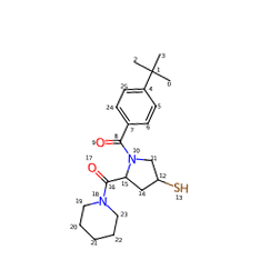 CC(C)(C)c1ccc(C(=O)N2CC(S)CC2C(=O)N2CCCCC2)cc1